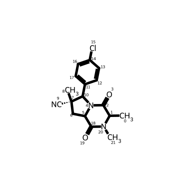 CC1C(=O)N2C(C[C@](C)(C#N)C2c2ccc(Cl)cc2)C(=O)N1C